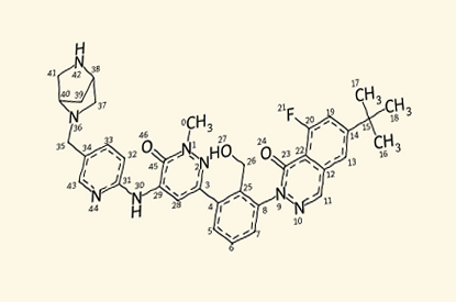 Cn1nc(-c2cccc(-n3ncc4cc(C(C)(C)C)cc(F)c4c3=O)c2CO)cc(Nc2ccc(CN3CC4CC3CN4)cn2)c1=O